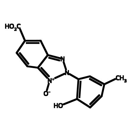 Cc1ccc(O)c(-n2nc3cc(C(=O)O)ccc3[n+]2[O-])c1